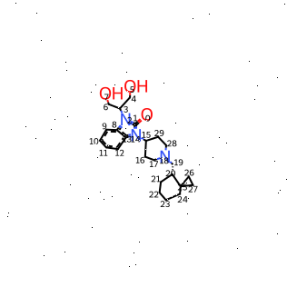 O=c1n(C(CO)CO)c2ccccc2n1C1CCN(C[C@H]2CCCCC23CC3)CC1